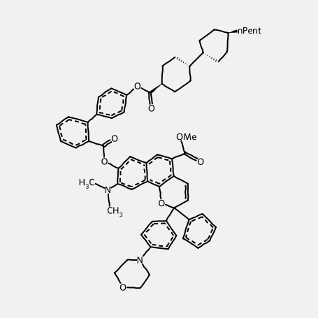 CCCCC[C@H]1CC[C@H]([C@H]2CC[C@H](C(=O)Oc3ccc(-c4ccccc4C(=O)Oc4cc5cc(C(=O)OC)c6c(c5cc4N(C)C)OC(c4ccccc4)(c4ccc(N5CCOCC5)cc4)C=C6)cc3)CC2)CC1